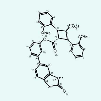 COc1ccccc1C1C(C(=O)O)[C@H](c2ccccc2OC)[C@H]1C(=O)Oc1cccc(-c2ccc3c(c2)NC(=O)C3)c1